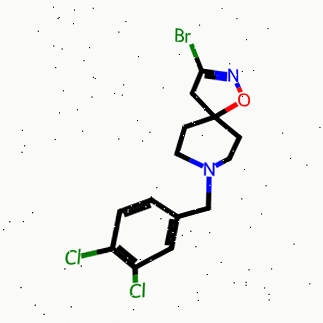 Clc1ccc(CN2CCC3(CC2)CC(Br)=NO3)cc1Cl